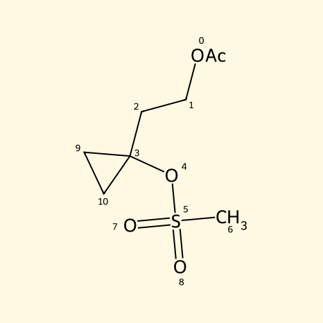 CC(=O)OCCC1(OS(C)(=O)=O)CC1